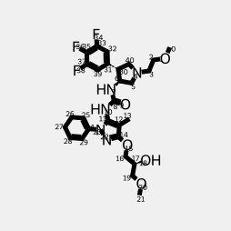 COCCN1C[C@@H](NC(=O)Nc2c(C)c(OC[C@H](O)COC)nn2C2=CCCC=C2)[C@H](c2cc(F)c(F)c(F)c2)C1